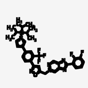 CC(C)[Si](C(C)C)(C(C)C)n1ccc(-c2ccc(-c3cc(Cn4cc5nc(-c6cccc(F)c6F)nc-5cn4)on3)c(C(F)(F)F)c2)c1